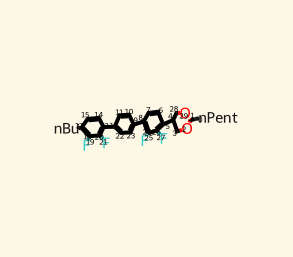 CCCCCC1OCC(c2ccc(-c3ccc(-c4ccc(CCCC)c(F)c4F)cc3)c(F)c2F)CO1